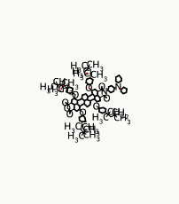 C=C(C)CC(C)(C)c1ccc(Oc2cc3c4c(cc(Oc5ccc(C(C)(C)CC(C)(C)C)cc5)c5c6ccc7c8c(Oc9ccc(C(C)(C)CC(C)(C)C)cc9)cc9c%10c(cc(Oc%11ccc(C(C)(C)CC(C)(C)C)cc%11)c(c%11ccc(c2c45)c6c%117)c%108)C(=O)OC9=O)C(=O)N(c2ccc(N(c4ccccc4)c4ccccc4)cc2)C3=O)cc1